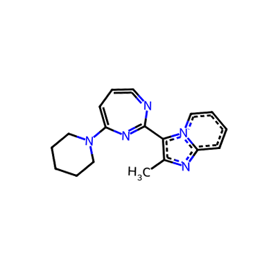 Cc1nc2ccccn2c1C1=NC(N2CCCCC2)=CC=C=N1